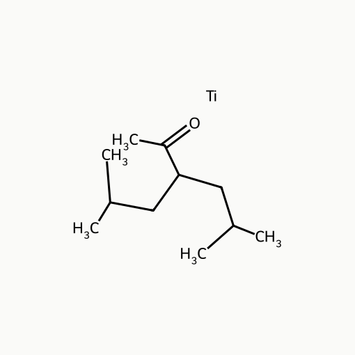 CC(=O)C(CC(C)C)CC(C)C.[Ti]